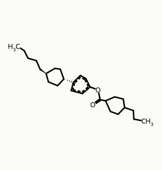 CCCCC[C@H]1CC[C@H](c2ccc(OC(=O)C3CCC(CCC)CC3)cc2)CC1